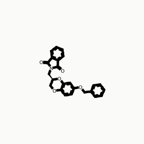 O=C1c2ccccc2C(=O)N1C[C@@H]1COc2ccc(OCc3ccccc3)cc2O1